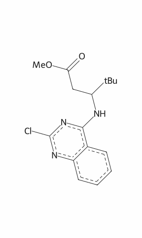 COC(=O)CC(Nc1nc(Cl)nc2ccccc12)C(C)(C)C